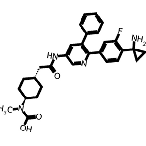 CN(C(=O)O)[C@H]1CC[C@H](CC(=O)Nc2cnc(-c3ccc(C4(N)CC4)c(F)c3)c(-c3ccccc3)c2)CC1